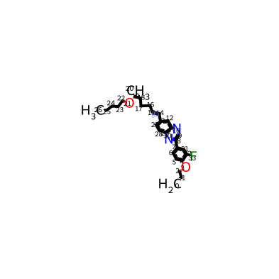 C=CCOc1ccc(-c2cnc3cc(/C=C/CCCC(C)OCCCCC)ccc3n2)cc1F